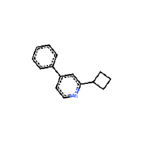 c1ccc(-c2ccnc(C3CCC3)c2)cc1